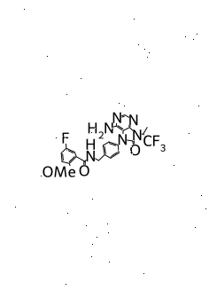 COc1ccc(F)cc1C(=O)NCc1ccc(-n2c(=O)n(C(C)C(F)(F)F)c3ncnc(N)c32)cc1